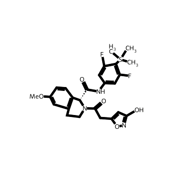 COc1ccc2c(c1)CCN(C(=O)Cc1cc(O)no1)[C@H]2C(=O)Nc1cc(F)c(S(C)(C)C)c(F)c1